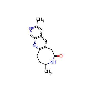 Cc1cc2cc3c(nc2cn1)CCC(C)NC(=O)C3